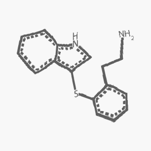 NCCc1ccccc1Sc1c[nH]c2ccccc12